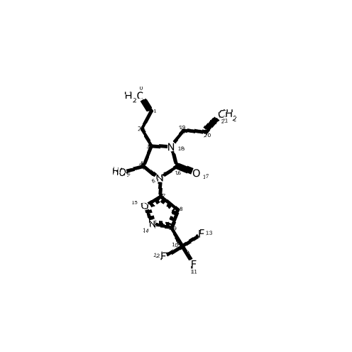 C=CCC1C(O)N(c2cc(C(F)(F)F)no2)C(=O)N1CC=C